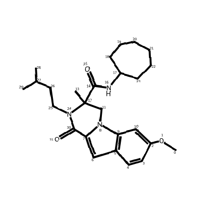 COc1ccc2cc3n(c2c1)CC(C)(C(=O)NC1CCCCCC1)N(CCC(C)C)C3=O